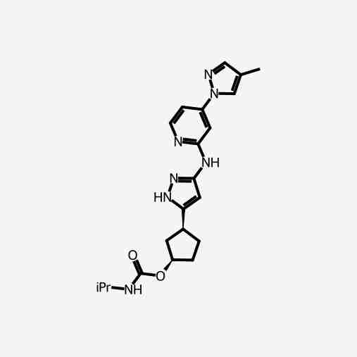 Cc1cnn(-c2ccnc(Nc3cc([C@H]4CC[C@@H](OC(=O)NC(C)C)C4)[nH]n3)c2)c1